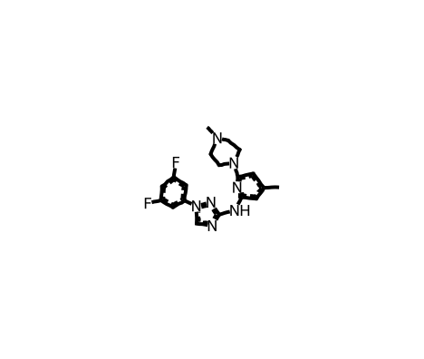 Cc1cc(Nc2ncn(-c3cc(F)cc(F)c3)n2)nc(N2CCN(C)CC2)c1